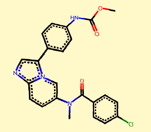 COC(=O)Nc1ccc(-c2cnc3ccc(N(C)C(=O)c4ccc(Cl)cc4)cn23)cc1